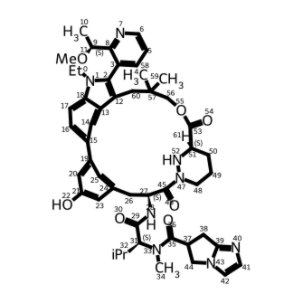 CCn1c(-c2cccnc2[C@H](C)OC)c2c3cc(ccc31)-c1cc(O)cc(c1)C[C@H](NC(=O)[C@H](C(C)C)N(C)C(=O)C1Cc3nccn3C1)C(=O)N1CCC[C@H](N1)C(=O)OCC(C)(C)C2